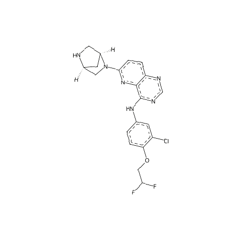 FC(F)COc1ccc(Nc2ncnc3ccc(N4C[C@@H]5C[C@H]4CN5)nc23)cc1Cl